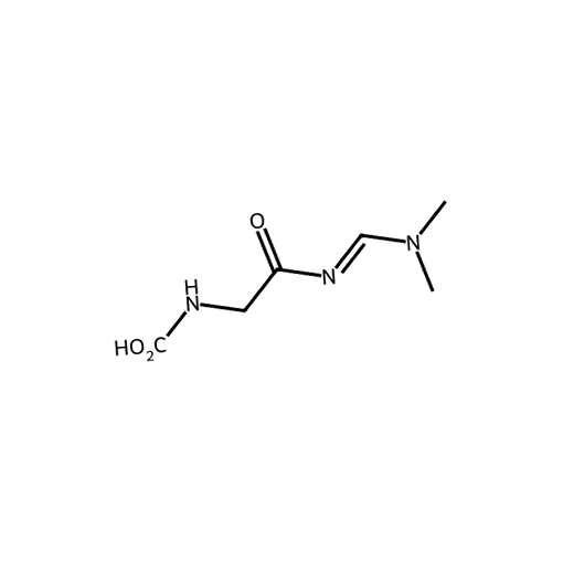 CN(C)C=NC(=O)CNC(=O)O